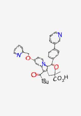 CC(C)(C)C(=O)c1c(CC(C)(C)C(=O)O)c(C(=O)c2ccc(-c3cccnc3)cc2)n2ccc(OCc3ccccn3)cc12